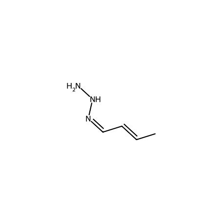 C/C=C/C=N\NN